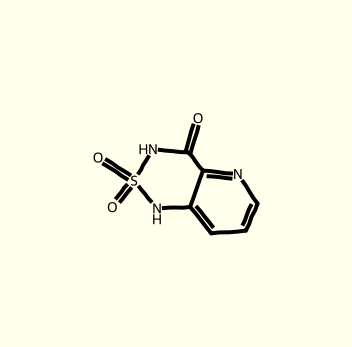 O=C1NS(=O)(=O)Nc2cccnc21